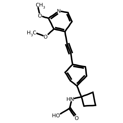 COc1nccc(C#Cc2ccc(C3(NC(=O)O)CCC3)cc2)c1OC